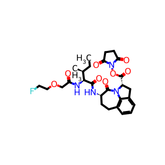 CC[C@H](C)[C@H](NC(=O)COCCF)C(=O)N[C@H]1CCc2cccc3c2N(C1=O)[C@H](C(=O)ON1C(=O)CCC1=O)C3